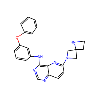 c1ccc(Oc2cccc(Nc3ncnc4ccc(N5CC6(CCN6)C5)nc34)c2)cc1